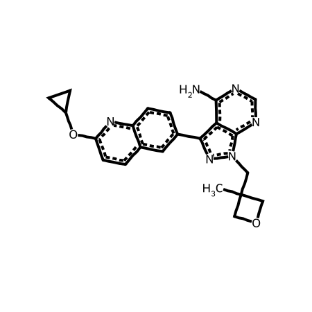 CC1(Cn2nc(-c3ccc4nc(OC5CC5)ccc4c3)c3c(N)ncnc32)COC1